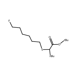 CCCCC(SCCCCCCF)C(=O)OC(C)(C)C